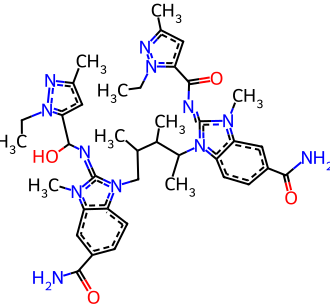 CCn1nc(C)cc1C(=O)/N=c1\n(C)c2cc(C(N)=O)ccc2n1C(C)C(C)C(C)Cn1/c(=N/C(O)c2cc(C)nn2CC)n(C)c2cc(C(N)=O)ccc21